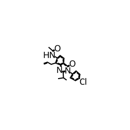 C=CCc1c(NC(C)=O)ccc2c(=O)n(-c3ccc(Cl)cc3)c(C(C)C)nc12